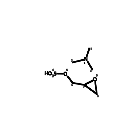 CN(C)C.O=S(=O)(O)OCC1CO1